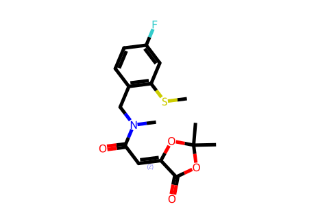 CSc1cc(F)ccc1CN(C)C(=O)/C=C1\OC(C)(C)OC1=O